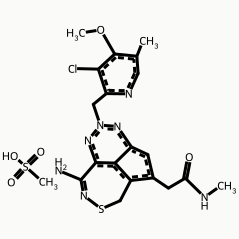 CNC(=O)Cc1cc2nn(Cc3ncc(C)c(OC)c3Cl)nc3c-2c1CSN=C3N.CS(=O)(=O)O